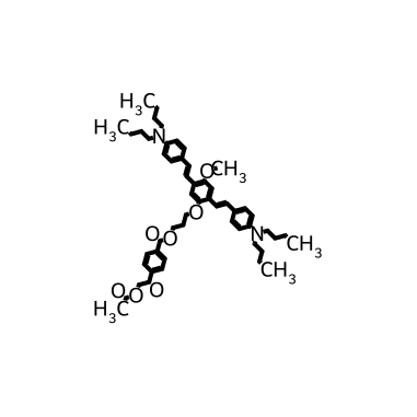 CCCCN(CCCC)c1ccc(C=Cc2cc(OCCCOC(=O)c3ccc(C(=O)COC(C)=O)cc3)c(C=Cc3ccc(N(CCCC)CCCC)cc3)cc2OC)cc1